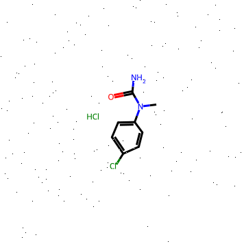 CN(C(N)=O)c1ccc(Cl)cc1.Cl